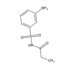 CCC(=O)NS(=O)(=O)c1cccc(N)c1